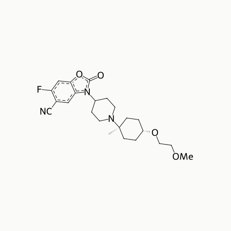 COCCO[C@H]1CC[C@](C)(N2CCC(n3c(=O)oc4cc(F)c(C#N)cc43)CC2)CC1